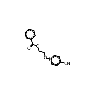 N#Cc1cc[n+](OCCOC(=O)c2ccccc2)cc1